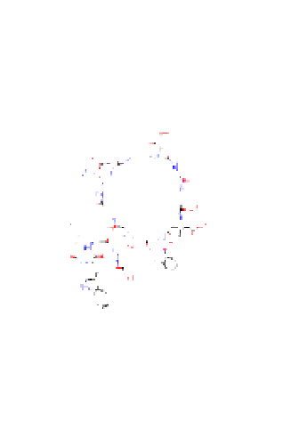 CC(CC(=O)O)[C@@H]1NC(=O)[C@@H](CO)NC(=O)CNC(=O)[C@H](CC(=O)O)NC(=O)[C@@H](C)NC(=O)[C@H](CC(=O)O)NC(=O)[C@H](CCCN)NC(=O)CNC(=O)[C@@H](NC(=O)[C@H](CC(=O)O)NC(=O)[C@@H](CC(N)=O)NC(=O)[C@H](Cc2c[nH]c3ccccc23)NC=O)[C@@H](C)OC(=O)[C@H](CC(=O)c2ccccc2N)NC1=O